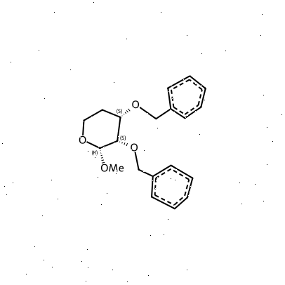 CO[C@@H]1OCC[C@H](OCc2ccccc2)[C@@H]1OCc1ccccc1